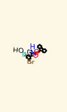 O=C(NC(Cc1cc(F)cc(Br)c1)C(=O)O)OCC1c2ccccc2-c2ccccc21